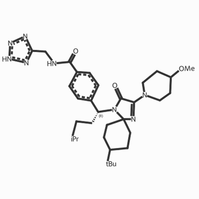 COC1CCN(C2=NC3(CCC(C(C)(C)C)CC3)N([C@H](CCC(C)C)c3ccc(C(=O)NCc4nn[nH]n4)cc3)C2=O)CC1